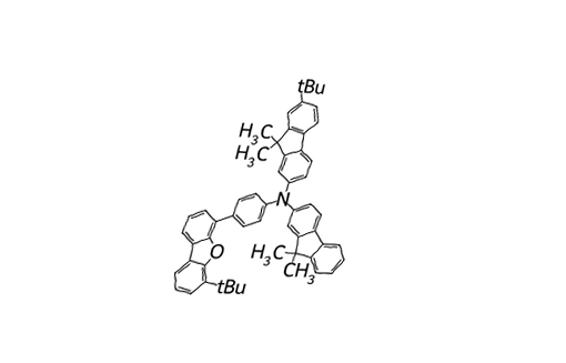 CC(C)(C)c1ccc2c(c1)C(C)(C)c1cc(N(c3ccc(-c4cccc5c4oc4c(C(C)(C)C)cccc45)cc3)c3ccc4c(c3)C(C)(C)c3ccccc3-4)ccc1-2